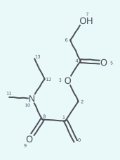 C=C(COC(=O)CO)C(=O)N(C)CC